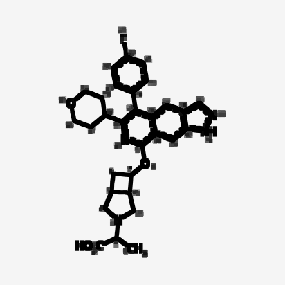 CC(C(=O)O)N1CC2CC(Oc3nc(C4CCOCC4)c(-c4ccc(F)cc4)c4cc5cn[nH]c5cc34)C2C1